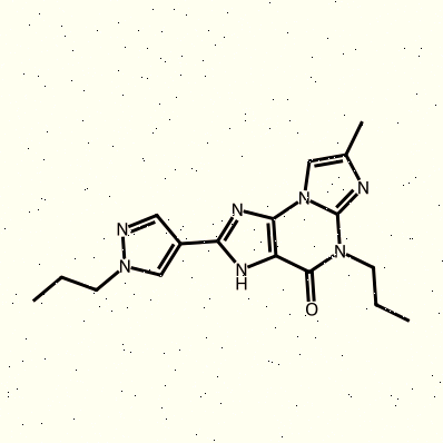 CCCn1cc(-c2nc3c([nH]2)c(=O)n(CCC)c2nc(C)cn32)cn1